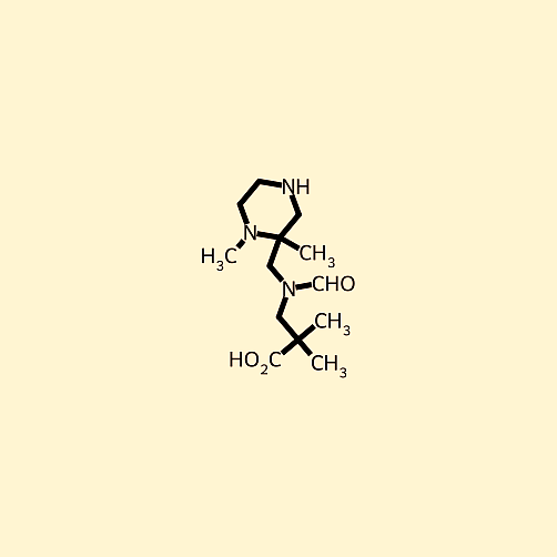 CN1CCNCC1(C)CN(C=O)CC(C)(C)C(=O)O